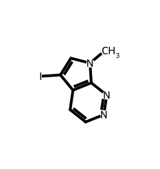 Cn1cc(I)c2ccnnc21